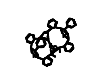 CC12OB3OC1(C)c1ccccc1-c1cc(-c4ccccc4)c(cn1)-c1ccccc1-c1cc3cc(c1)-c1ccccc1-c1cnc(cc1-c1ccccc1)-c1ccccc12